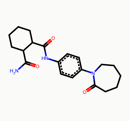 NC(=O)C1CCCCC1C(=O)Nc1ccc(N2CCCCCC2=O)cc1